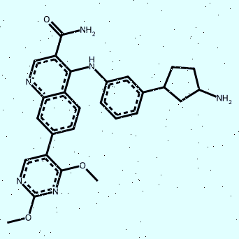 COc1ncc(-c2ccc3c(Nc4cccc(C5CCC(N)C5)c4)c(C(N)=O)cnc3c2)c(OC)n1